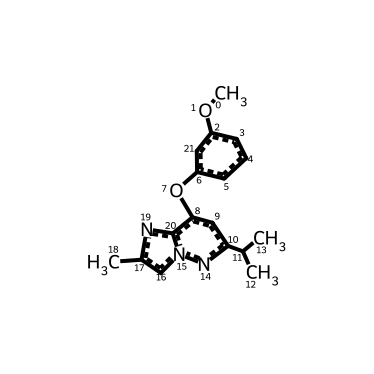 COc1cccc(Oc2cc(C(C)C)nn3cc(C)nc23)c1